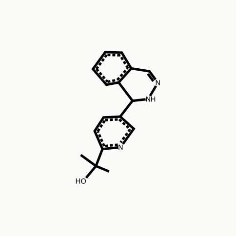 CC(C)(O)c1ccc(C2NN=Cc3ccccc32)cn1